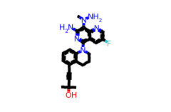 CN(N)c1c(N)nc(N2CCCc3c(C#CC(C)(C)O)cccc32)c2cc(F)cnc12